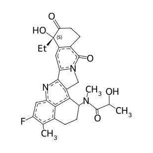 CC[C@@]1(O)C(=O)CCc2c1cc1n(c2=O)Cc2c-1nc1cc(F)c(C)c3c1c2C(N(C)C(=O)C(C)O)CC3